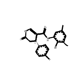 Cc1cc(C)c(Br)c(NC(=O)C2=CNC(=O)C[C@H]2c2ccc(F)cc2)c1